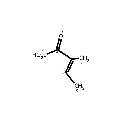 CC=C(C)C(=O)C(=O)O